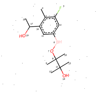 Cc1c(F)cc(BOC(C)(C)C(C)(C)O)cc1C(C)O